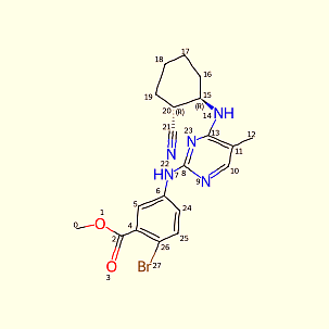 COC(=O)c1cc(Nc2ncc(C)c(N[C@@H]3CCCC[C@H]3C#N)n2)ccc1Br